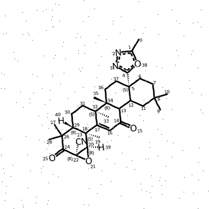 Cc1nnc([C@]23CCC(C)(C)CC2C2C(=O)C=C4[C@@]5(C)[C@H]6O[C@@]6(C#N)C(=O)C(C)(C)[C@@H]5CC[C@@]4(C)[C@]2(C)CC3)o1